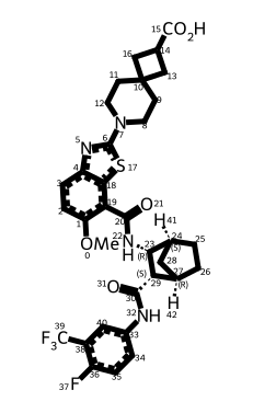 COc1ccc2nc(N3CCC4(CC3)CC(C(=O)O)C4)sc2c1C(=O)N[C@@H]1[C@H]2CC[C@H](C2)[C@@H]1C(=O)Nc1ccc(F)c(C(F)(F)F)c1